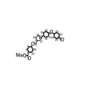 COC(=O)c1ccc(OCC2CCN(c3ccc(Oc4ccc(Cl)cc4)cc3)C2)cc1